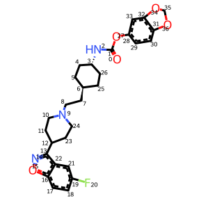 O=C(N[C@H]1CC[C@H](CCN2CCC(c3noc4ccc(F)cc34)CC2)CC1)Oc1ccc2c(c1)OCO2